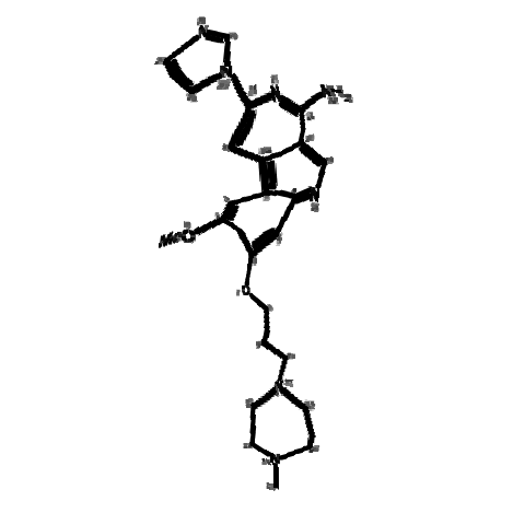 COc1cc2c(cc1OCCCN1CCN(C)CC1)ncc1c(N)nc(-n3ccnc3)cc12